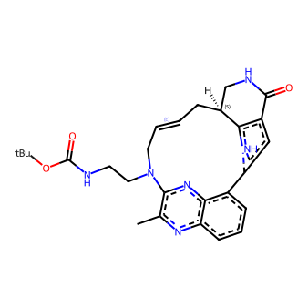 Cc1nc2cccc3c2nc1N(CCNC(=O)OC(C)(C)C)C/C=C/C[C@H]1CNC(=O)c2cc-3[nH]c21